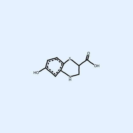 O=C(O)C1CNc2cc(O)ccc2S1